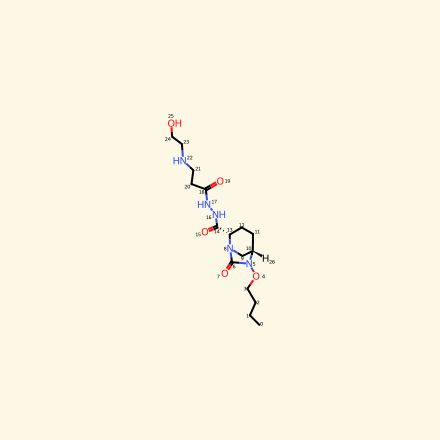 CCCCON1C(=O)N2C[C@@H]1CC[C@H]2C(=O)NNC(=O)CCNCCO